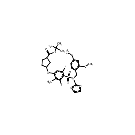 COc1ccc(CN(c2nccs2)S(=O)(=O)c2c(F)cc(OC3CCN(C(=O)OC(C)(C)C)C3)c(C)c2F)c(OC)c1